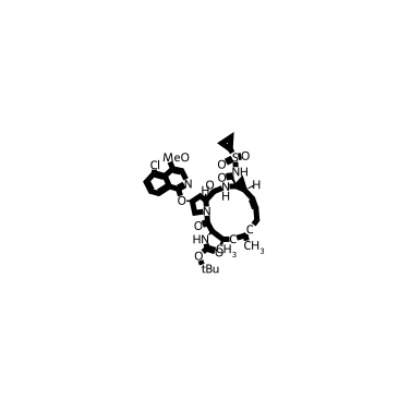 COc1cnc(O[C@@H]2C[C@H]3C(=O)N[C@]4(C(=O)NS(=O)(=O)C5CC5)C[C@H]4/C=C\CCC(C)C[C@@H](C)[C@H](NC(=O)OC(C)(C)C)C(=O)N3C2)c2cccc(Cl)c12